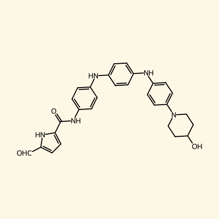 O=Cc1ccc(C(=O)Nc2ccc(Nc3ccc(Nc4ccc(N5CCC(O)CC5)cc4)cc3)cc2)[nH]1